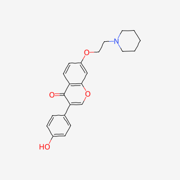 O=c1c(-c2ccc(O)cc2)coc2cc(OCCN3CCCCC3)ccc12